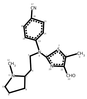 Cc1sc(N(CCC2CCCN2C)c2ccc(C#N)cc2)nc1C=O